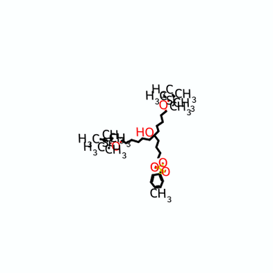 Cc1ccc(S(=O)(=O)OCCCCC(O)(CCCCCCO[Si](C)(C)C(C)(C)C)CCCCCO[Si](C)(C)C(C)(C)C)cc1